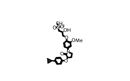 COc1cc(N2CCC(Oc3ccc(C4CC4)cc3)C2=O)ccc1OC[C@H](O)CS(C)(=O)=O